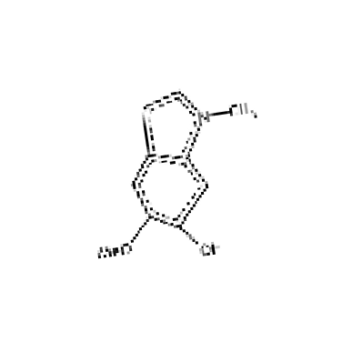 COc1cc2ccn(C)c2cc1O